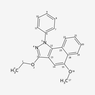 CCOc1nn(-c2ccccc2)c2c1cc(OC)c1ccccc12